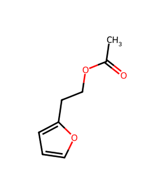 CC(=O)OCCc1ccco1